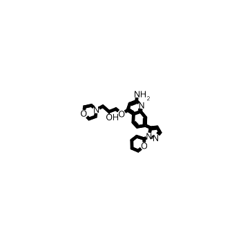 Nc1cc(OC[C@H](O)CN2CCOCC2)c2ccc(-c3ccnn3C3CCCCO3)cc2n1